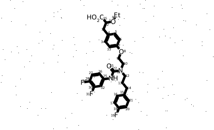 CCOC(Cc1ccc(OCCN(CCCc2ccc(F)cc2)C(=O)Nc2ccc(F)c(F)c2)cc1)C(=O)O